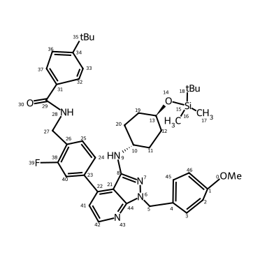 COc1ccc(Cn2nc(N[C@H]3CC[C@H](O[Si](C)(C)C(C)(C)C)CC3)c3c(-c4ccc(CNC(=O)c5ccc(C(C)(C)C)cc5)c(F)c4)ccnc32)cc1